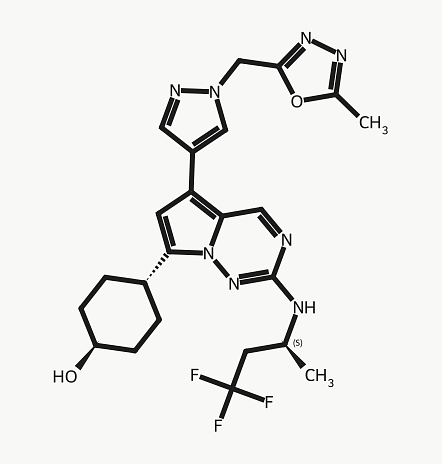 Cc1nnc(Cn2cc(-c3cc([C@H]4CC[C@H](O)CC4)n4nc(N[C@@H](C)CC(F)(F)F)ncc34)cn2)o1